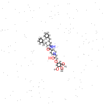 COc1cc(OCC(O)CN2CCC(C(=O)NC(CCCc3ccccc3)CCCc3ccccc3)CC2)cc(OC)c1OC